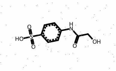 O=C(CO)Nc1ccc(S(=O)(=O)O)cc1